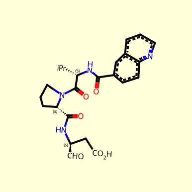 CC(C)[C@H](NC(=O)c1ccc2ncccc2c1)C(=O)N1CCC[C@H]1C(=O)N[C@H](C=O)CC(=O)O